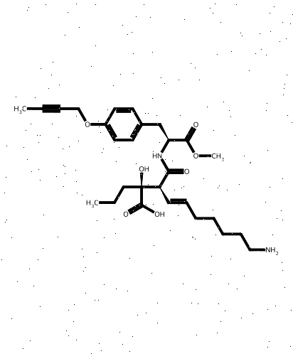 CC#CCOc1ccc(C[C@H](NC(=O)[C@@H](C=CCCCCCN)[C@@](O)(CCC)C(=O)O)C(=O)OC)cc1